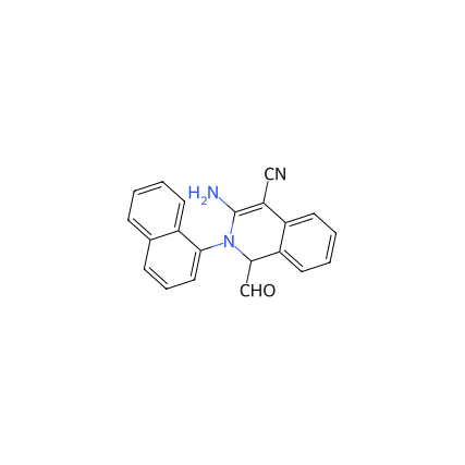 N#CC1=C(N)N(c2cccc3ccccc23)C(C=O)c2ccccc21